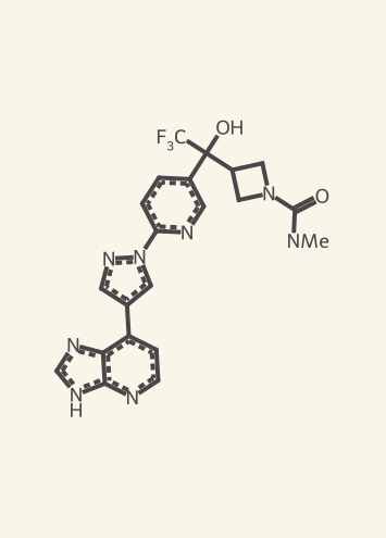 CNC(=O)N1CC(C(O)(c2ccc(-n3cc(-c4ccnc5[nH]cnc45)cn3)nc2)C(F)(F)F)C1